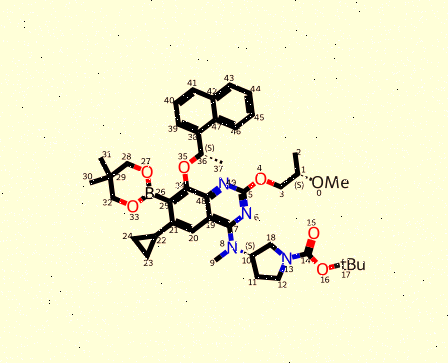 CO[C@@H](C)COc1nc(N(C)[C@H]2CCN(C(=O)OC(C)(C)C)C2)c2cc(C3CC3)c(B3OCC(C)(C)CO3)c(O[C@@H](C)c3cccc4ccccc34)c2n1